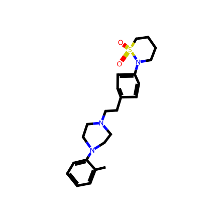 Cc1ccccc1N1CCN(CCc2ccc(N3CCCCS3(=O)=O)cc2)CC1